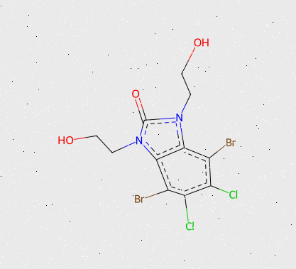 O=c1n(CCO)c2c(Br)c(Cl)c(Cl)c(Br)c2n1CCO